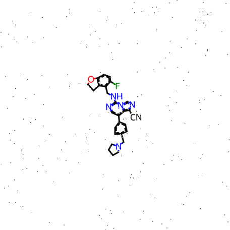 N#Cc1ncn2c(NCc3c(F)ccc4c3CCO4)ncc(-c3ccc(CN4CCCC4)cc3)c12